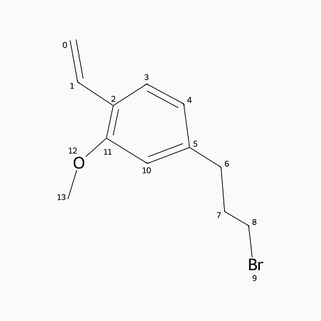 C=Cc1ccc(CCCBr)cc1OC